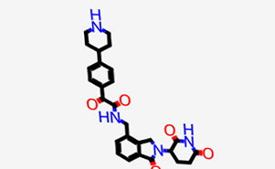 O=C1CCC(N2Cc3c(CNC(=O)C(=O)c4ccc(C5CCNCC5)cc4)cccc3C2=O)C(=O)N1